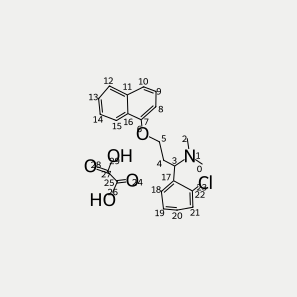 CN(C)C(CCOc1cccc2ccccc12)c1ccccc1Cl.O=C(O)C(=O)O